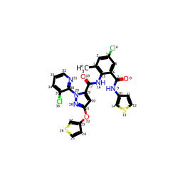 Cc1cc(Cl)cc(C(=O)Nc2ccsc2)c1NC(=O)c1cc(Oc2ccsc2)nn1-c1ncccc1Cl